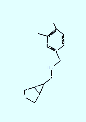 Cl.Fc1ccc(CNCC2C3CNCC23)cc1Cl